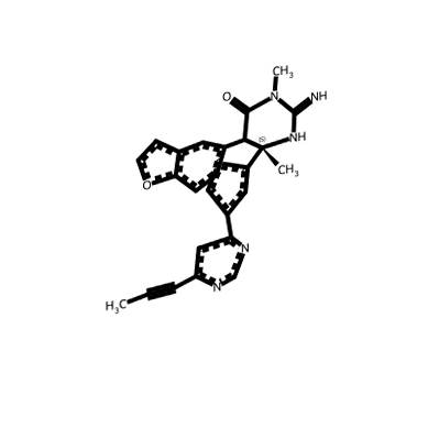 CC#Cc1cc(-c2csc([C@@]3(C)NC(=N)N(C)C(=O)C3c3ccc4occc4c3)c2)ncn1